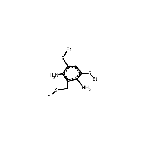 CCSCc1c(N)c(SCC)cc(SCC)c1N